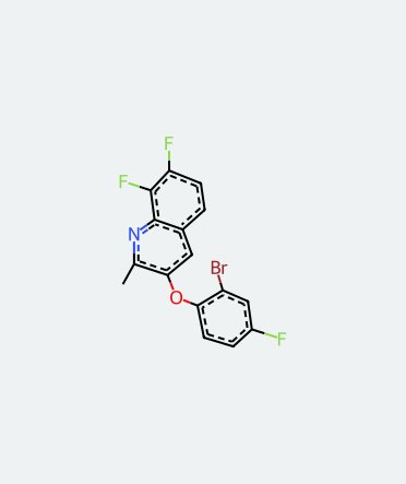 Cc1nc2c(F)c(F)ccc2cc1Oc1ccc(F)cc1Br